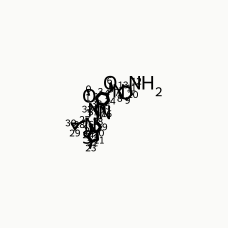 COc1cc(C(=O)N2CCC[C@@H](N)C2)cc2nc(-c3cc4cc(C)sc4n3CC3CC3)n(C)c12